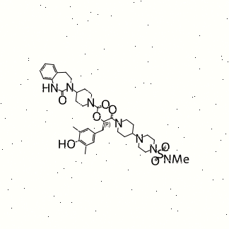 CNS(=O)(=O)N1CCN(C2CCN(C(=O)[C@@H](Cc3cc(C)c(O)c(C)c3)OC(=O)N3CCC(N4CCc5ccccc5NC4=O)CC3)CC2)CC1